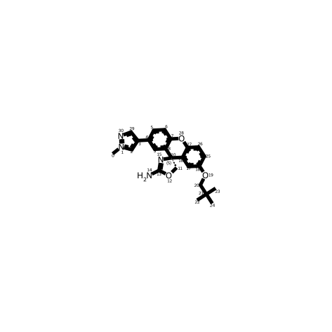 Cn1cc(-c2ccc3c(c2)[C@@]2(COC(N)=N2)c2cc(OCC(C)(C)C)ccc2O3)cn1